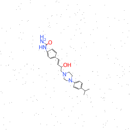 CC(C)c1ccc(N2CCN(CC(O)C=Cc3ccc(NC(N)=O)cc3)CC2)cc1